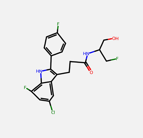 O=C(CCc1c(-c2ccc(F)cc2)[nH]c2c(F)cc(Cl)cc12)NC(CO)CF